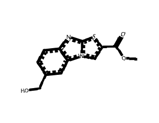 COC(=O)c1cn2c(nc3ccc(CO)cc32)s1